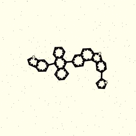 c1csc(-c2ccc3oc4ccc5cc(-c6c7ccccc7c(-c7ccc8ccoc8c7)c7ccccc67)ccc5c4c3c2)c1